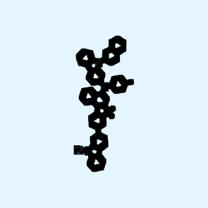 CCn1c2ccccc2c2ccc(-c3ccc4c(c3)C(C)(C)c3cc(N(c5ccc(C)cc5)c5ccc6c7ccccc7n(-c7ccc8ccccc8c7)c6c5)c5ccccc5c3-4)cc21